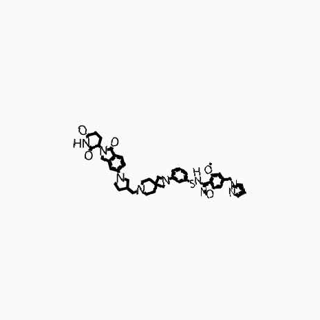 COc1cc(Cn2cccn2)cc2onc(NSc3cccc(N4CC5(CCN(CC6CCN(c7ccc8c(c7)CN(C7CCC(=O)NC7=O)C8=O)C6)CC5)C4)c3)c12